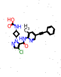 Cc1cc(C#Cc2ccccc2)cnc1NC(=O)c1c(Cl)cnn1[C@H]1C[C@@H](NC(=O)O)C1